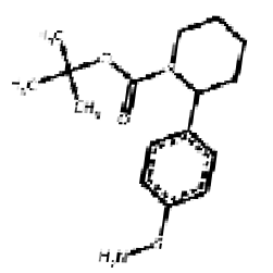 CC(C)(C)OC(=O)N1CCCCC1c1ccc(SN)cc1